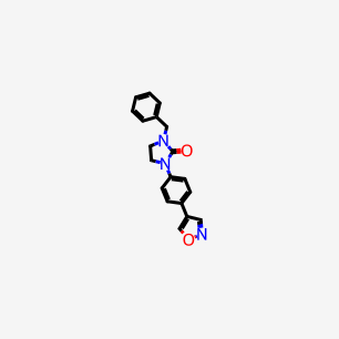 O=C1N(Cc2ccccc2)CCN1c1ccc(-c2cnoc2)cc1